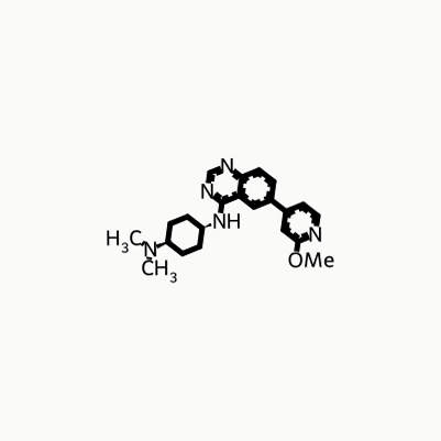 COc1cc(-c2ccc3ncnc(N[C@H]4CC[C@H](N(C)C)CC4)c3c2)ccn1